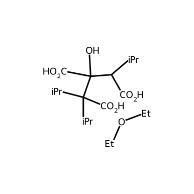 CC(C)C(C(=O)O)C(O)(C(=O)O)C(C(=O)O)(C(C)C)C(C)C.CCOCC